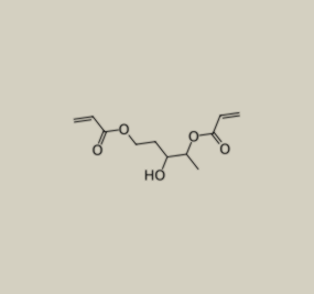 C=CC(=O)OCCC(O)C(C)OC(=O)C=C